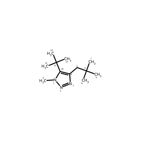 Cn1nnc(CC(C)(C)C)c1C(C)(C)C